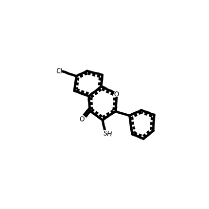 O=c1c(S)c(-c2ccccc2)oc2ccc(Cl)cc12